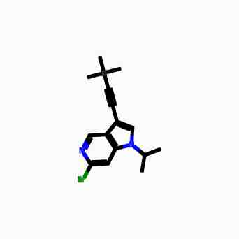 CC(C)n1cc(C#C[Si](C)(C)C)c2cnc(Br)cc21